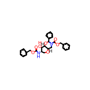 O=C(N[C@H]1CO[C@@H]2CN(C(=O)OCc3ccccc3)C(c3ccccc3)O[C@H]2[C@H]1O)OCc1ccccc1